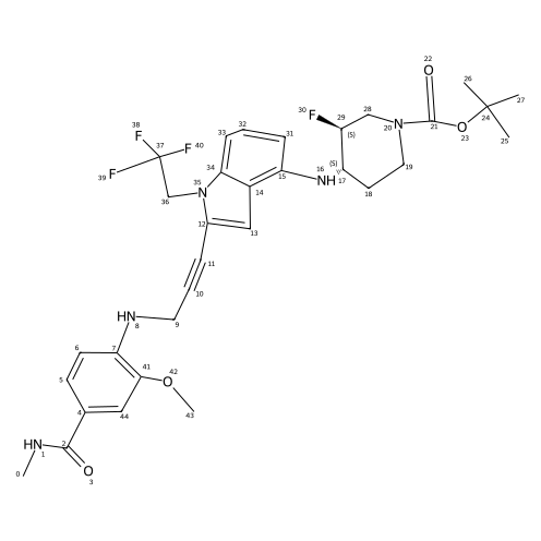 CNC(=O)c1ccc(NCC#Cc2cc3c(N[C@H]4CCN(C(=O)OC(C)(C)C)C[C@@H]4F)cccc3n2CC(F)(F)F)c(OC)c1